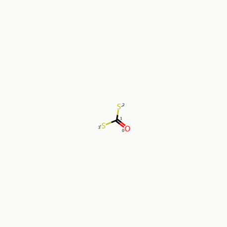 O=C([S])[S]